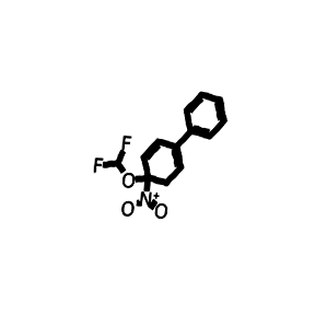 O=[N+]([O-])C1(OC(F)F)C=CC(c2ccccc2)=CC1